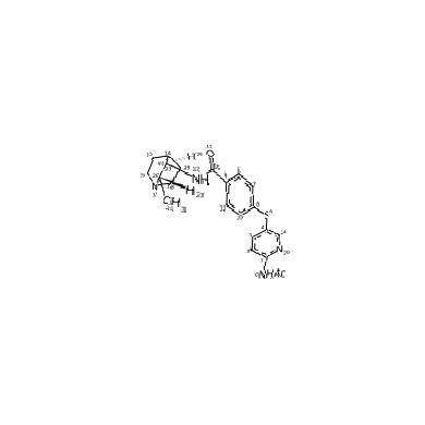 CC(=O)Nc1ccc(Sc2ccc(C(=O)N[C@@H]3C4CCN(CC4)[C@H]3C)cc2)cn1